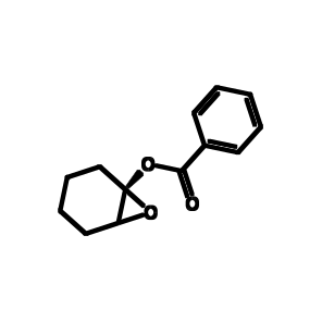 O=C(O[C@]12CCCCC1O2)c1ccccc1